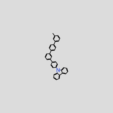 Cc1cccc(-c2ccc(-c3cccc(-c4ccc(-n5c6ccccc6c6ccccc65)cc4)c3)cc2)c1